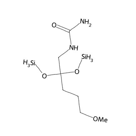 COCCCC(CNC(N)=O)(O[SiH3])O[SiH3]